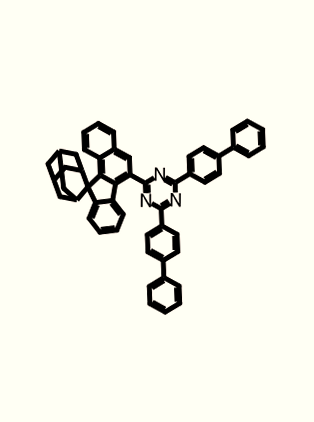 c1ccc(-c2ccc(-c3nc(-c4ccc(-c5ccccc5)cc4)nc(-c4cc5ccccc5c5c4-c4ccccc4C54C5CC6CC(C5)CC4C6)n3)cc2)cc1